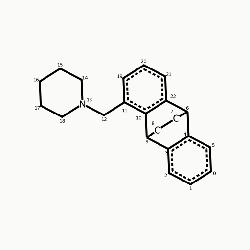 c1ccc2c(c1)C1CCC2c2c(CN3CCCCC3)cccc21